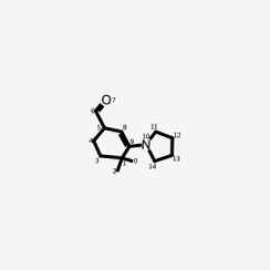 CC1(C)CCC(C=O)C=C1N1CCCC1